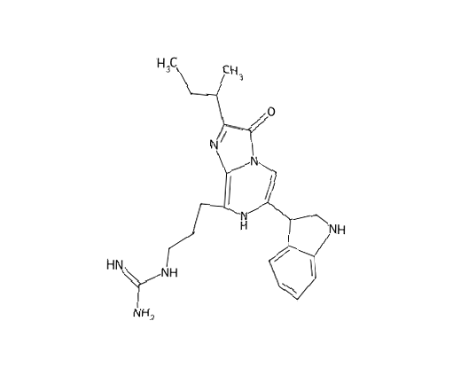 CCC(C)c1nc2c(CCCNC(=N)N)[nH]c(C3CNc4ccccc43)cn-2c1=O